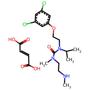 CNCCN(C)C(=O)N(CCOc1cc(Cl)cc(Cl)c1)C(C)C.O=C(O)C=CC(=O)O